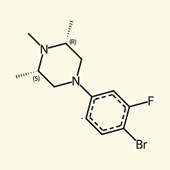 C[C@@H]1CN(c2[c]cc(Br)c(F)c2)C[C@H](C)N1C